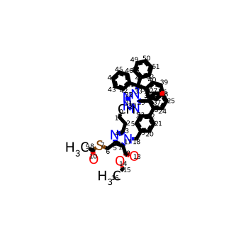 CCCc1nc(CSC(C)=O)c(C(=O)OCC)n1Cc1ccc(-c2ccccc2-c2nnnn2C(c2ccccc2)(c2ccccc2)c2ccccc2)cc1